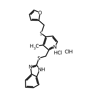 Cc1c(SCc2ccco2)ccnc1CSc1nc2ccccc2[nH]1.Cl.Cl